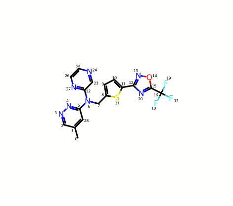 Cc1cnnc(N(Cc2ccc(-c3noc(C(F)(F)F)n3)s2)c2cnccn2)c1